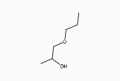 CC[CH]OCC(C)O